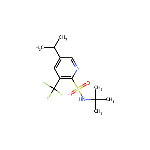 CC(C)c1cnc(S(=O)(=O)NC(C)(C)C)c(C(F)(F)F)c1